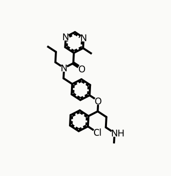 CCCN(Cc1ccc(OC(CCNC)c2ccccc2Cl)cc1)C(=O)c1cncnc1C